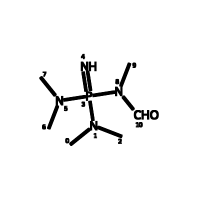 CN(C)P(=N)(N(C)C)N(C)C=O